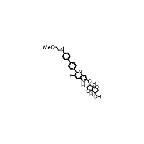 COCCN(C)c1ccc(-c2ccc(-c3nc4cc(O[C@@H]5CO[C@H]6[C@@H]5OC[C@H]6O)[nH]c4cc3F)cc2)cc1